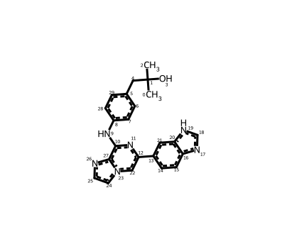 CC(C)(O)Cc1ccc(Nc2nc(-c3ccc4nc[nH]c4c3)cn3ccnc23)cc1